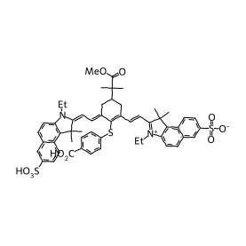 CCN1/C(=C/C=C2\CC(C(C)(C)C(=O)OC)CC(/C=C/C3=[N+](CC)c4ccc5cc(S(=O)(=O)[O-])ccc5c4C3(C)C)=C2Sc2ccc(C(=O)O)cc2)C(C)(C)c2c1ccc1cc(S(=O)(=O)O)ccc21